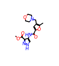 COC(=O)c1n[nH]cc1NC(=O)c1cc(CN2CCOCC2)c(C)o1